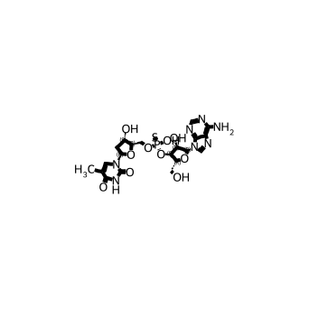 Cc1cn([C@H]2C[C@H](O)[C@@H](COP(O)(=S)O[C@H]3[C@@H](O)[C@H](n4cnc5c(N)ncnc54)O[C@@H]3CO)O2)c(=O)[nH]c1=O